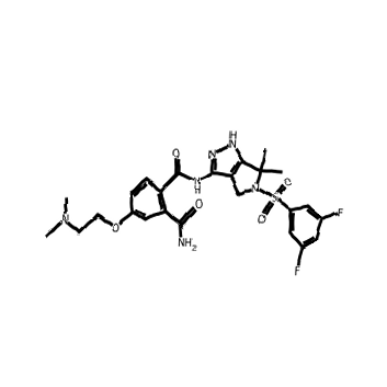 CN(C)CCOc1ccc(C(=O)Nc2n[nH]c3c2CN(S(=O)(=O)c2cc(F)cc(F)c2)C3(C)C)c(C(N)=O)c1